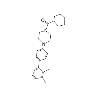 Cc1cccc(-c2ccc(N3CCN(C(=O)C4CCCCC4)CC3)cc2)c1C